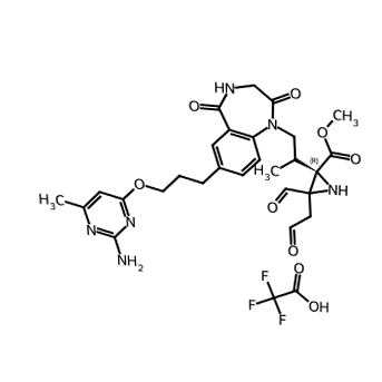 COC(=O)[C@]1(C(C)CN2C(=O)CNC(=O)c3cc(CCCOc4cc(C)nc(N)n4)ccc32)NC1(C=O)CC=O.O=C(O)C(F)(F)F